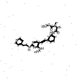 CCCNc1nc(NCCc2ccncc2)ncc1C#Cc1cccc(NC(=O)[C@H](C)N(C)C(=O)OC(C)(C)C)c1